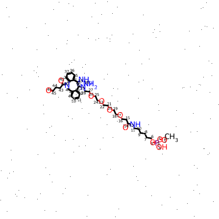 COOP(O)OCCCCCCNC(=O)CCOCCOCCOCCOCCN(N)/C1=C(\N)c2ccccc2N(C(=O)CCC=O)Cc2ccccc21